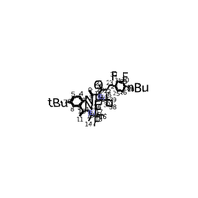 C=C(Nc1ccc(C(C)(C)C)cc1C(=C)/C=C(\C)C(C)(F)F)/C(C(=O)CCc1ccc(CCCC)c(F)c1F)=C(\C#N)C1(C)CCC1